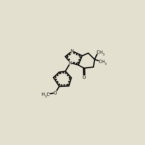 COc1ccc(-n2cnc3c2C(=O)CC(C)(C)C3)cc1